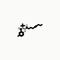 CCCC#CCCCC(=O)NN(C(=O)c1cccc(C)c1)C(C)(C)C